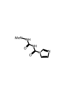 CNNC(=O)NC(=O)n1ccnc1